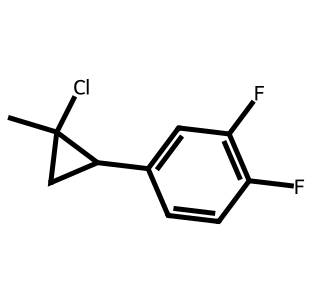 CC1(Cl)CC1c1ccc(F)c(F)c1